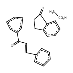 NC(=O)O.O=C(/C=C/c1ccccc1)c1ccccc1.O=C1CCc2ccccc21